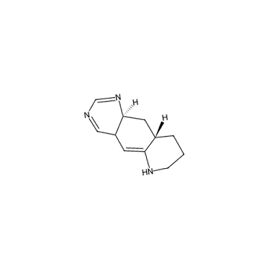 C1=NC=N[C@H]2C[C@@H]3CCCNC3=CC12